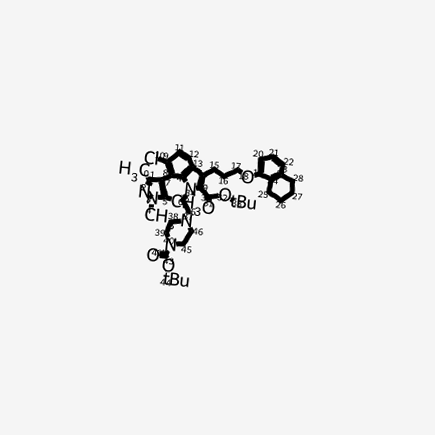 Cc1nn(C)c(C)c1-c1c(Cl)ccc2c(CCCOc3cccc4c3CCCC4)c(C(=O)OC(C)(C)C)n(CCN3CCN(C(=O)OC(C)(C)C)CC3)c12